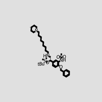 CC(C)(C)[Si](C)(C)O[C@H](CNCCCCCCCCCN1CC[CH]CC1)c1ccc(OCc2ccccc2)c(NS(C)(=O)=O)c1